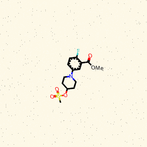 COC(=O)c1cc(N2CCC(OS(C)(=O)=O)CC2)ccc1F